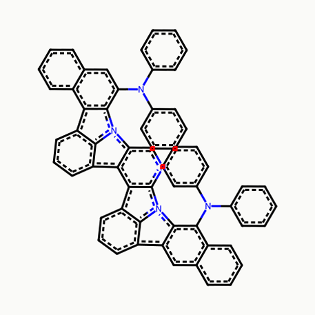 c1ccc(N(c2ccccc2)c2cc3ccccc3c3c4cccc5c6c7c8cccc9c%10cc%11ccccc%11c(N(c%11ccccc%11)c%11ccccc%11)c%10n(c7ncc6n(c23)c54)c98)cc1